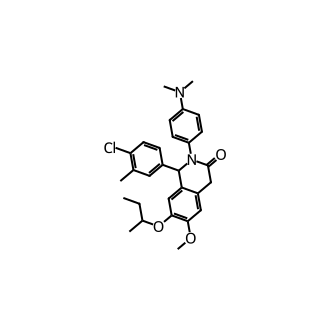 CCC(C)Oc1cc2c(cc1OC)CC(=O)N(c1ccc(N(C)C)cc1)C2c1ccc(Cl)c(C)c1